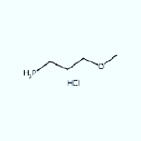 COCCCP.Cl